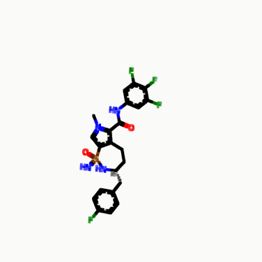 Cn1cc2c(c1C(=O)Nc1cc(F)c(F)c(F)c1)CC[C@H](Cc1ccc(F)cc1)NS2(=N)=O